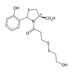 O=C(O)[C@@H]1CSC(c2ccccc2O)N1C(=O)CCSSCCO